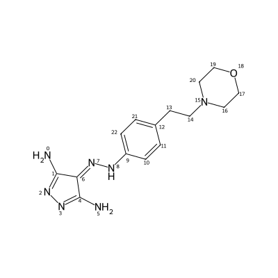 NC1=NN=C(N)C1=NNc1ccc(CCN2CCOCC2)cc1